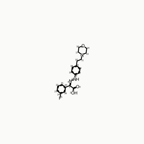 O=C(O)C(=NNc1ccc(CCN2CCOCC2)cc1)c1cccc(F)c1